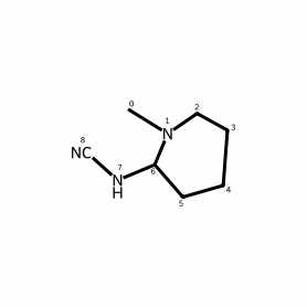 CN1CCCCC1NC#N